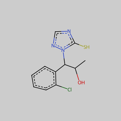 CC(O)C(c1ccccc1Cl)n1ncnc1S